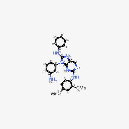 COc1ccc(Nc2ncc3nc(Nc4ccccc4)n(-c4cccc(N)c4)c3n2)c(OC)c1